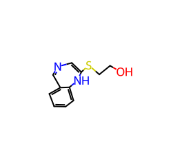 OCCSC1=CN=Cc2ccccc2N1